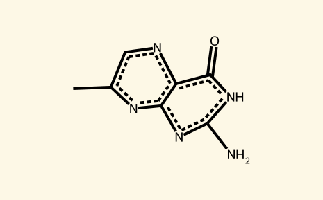 Cc1cnc2c(=O)[nH]c(N)nc2n1